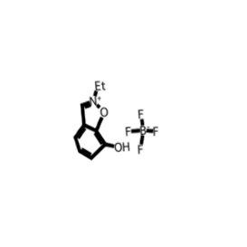 CC[n+]1cc2cccc(O)c2o1.F[B-](F)(F)F